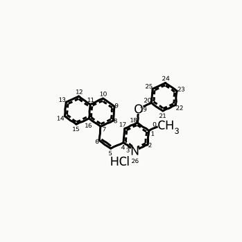 Cc1cnc(/C=C\c2cccc3ccccc23)cc1Oc1ccccc1.Cl